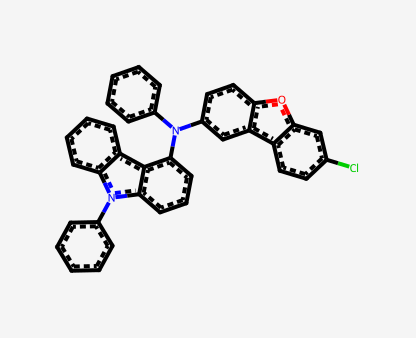 Clc1ccc2c(c1)oc1ccc(N(c3ccccc3)c3cccc4c3c3ccccc3n4-c3ccccc3)cc12